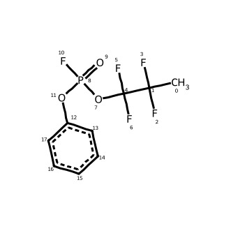 CC(F)(F)C(F)(F)OP(=O)(F)Oc1ccccc1